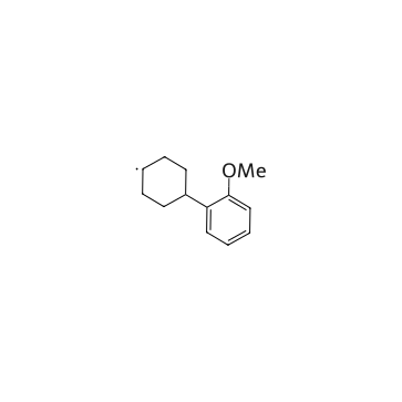 COc1ccccc1C1CC[CH]CC1